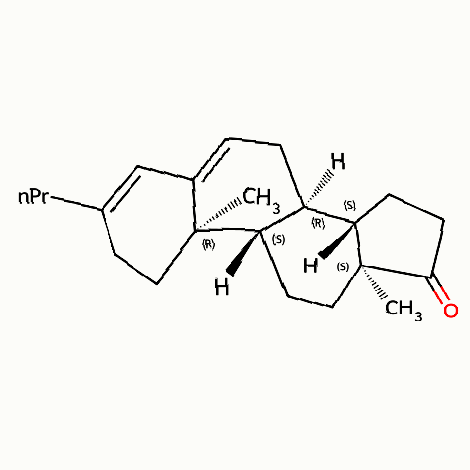 CCCC1=CC2=CC[C@@H]3[C@H](CC[C@]4(C)C(=O)CC[C@@H]34)[C@@]2(C)CC1